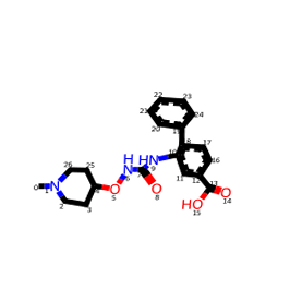 CN1CCC(ONC(=O)Nc2cc(C(=O)O)ccc2-c2ccccc2)CC1